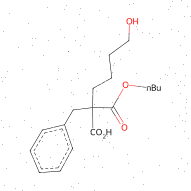 CCCCOC(=O)C(CCCCO)(Cc1ccccc1)C(=O)O